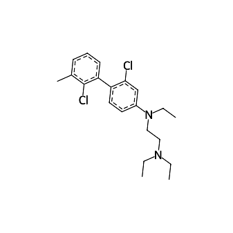 CCN(CC)CCN(CC)c1ccc(-c2cccc(C)c2Cl)c(Cl)c1